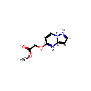 CC(C)(C)OC(=O)COc1ccn2nccc2n1